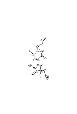 C=CCOc1nc(=O)n([C@@H]2O[C@](F)(CO)[C@@H](O)[C@H]2O)cc1C